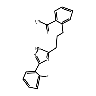 NC(=O)c1ccccc1CC[CH]c1nc(-c2ccccc2F)n[nH]1